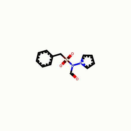 O=[C]N(n1cccc1)S(=O)(=O)Cc1ccccc1